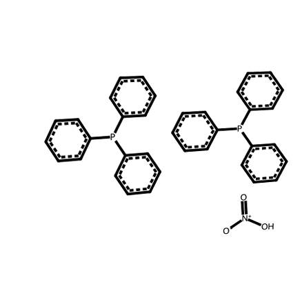 O=[N+]([O-])O.c1ccc(P(c2ccccc2)c2ccccc2)cc1.c1ccc(P(c2ccccc2)c2ccccc2)cc1